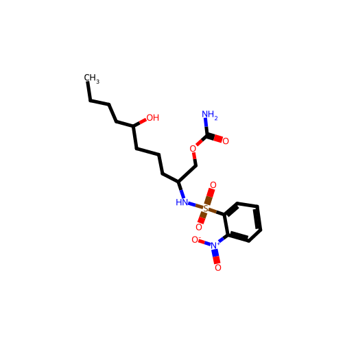 CCCCC(O)CCCC(COC(N)=O)NS(=O)(=O)c1ccccc1[N+](=O)[O-]